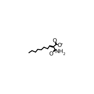 CCCCCCC/C=C(\C(N)=O)C(=O)OC